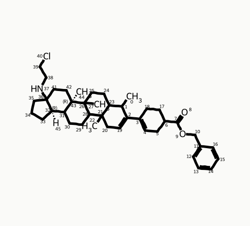 CC1C(C2=CCC(C(=O)OCc3ccccc3)CC2)=CCC2(C)C1CCC1(C)C2CCC2[C@H]3CCCC3(NCCCl)CC[C@]21C